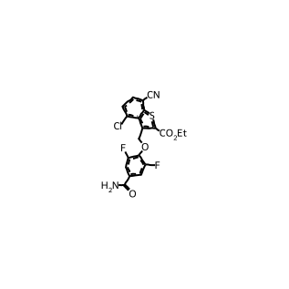 CCOC(=O)c1sc2c(C#N)ccc(Cl)c2c1COc1c(F)cc(C(N)=O)cc1F